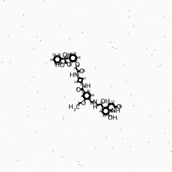 CCOc1cc(C(=O)NC2CC(NC(=O)COc3cccc([C@](O)(C(=O)O)c4ccccc4)c3)C2)ccc1CNC[C@H](O)c1ccc(O)c2[nH]c(=O)ccc12